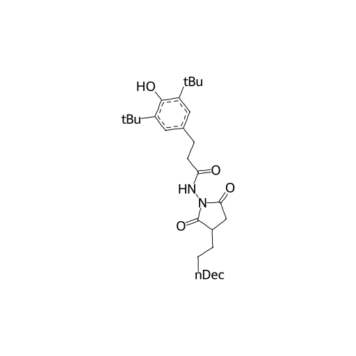 CCCCCCCCCCCCC1CC(=O)N(NC(=O)CCc2cc(C(C)(C)C)c(O)c(C(C)(C)C)c2)C1=O